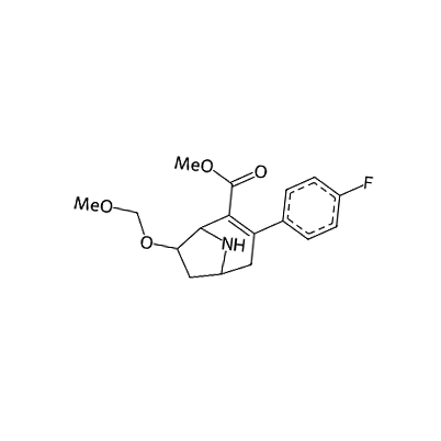 COCOC1CC2CC(c3ccc(F)cc3)=C(C(=O)OC)C1N2